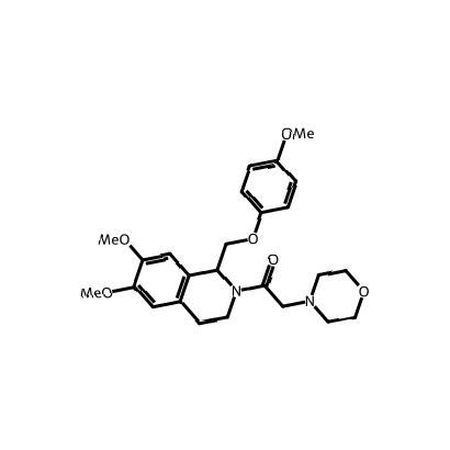 COc1ccc(OCC2c3cc(OC)c(OC)cc3CCN2C(=O)CN2CCOCC2)cc1